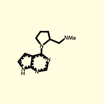 CNCC1CCCN1c1ncnc2[nH]ccc12